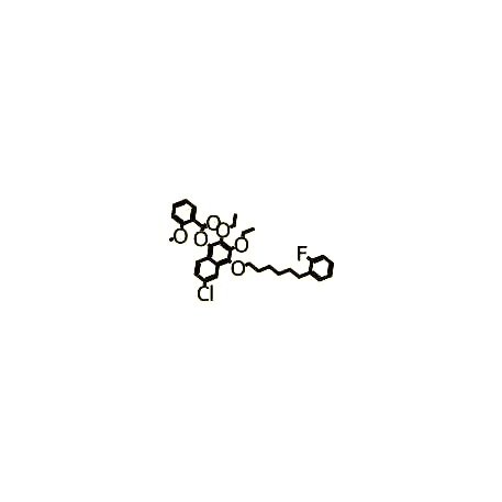 CCOc1c(OCC)c(OC(=O)c2ccccc2OC)c2ccc(Cl)cc2c1OCCCCCCc1ccccc1F